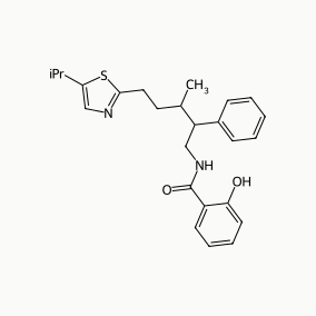 CC(C)c1cnc(CCC(C)C(CNC(=O)c2ccccc2O)c2ccccc2)s1